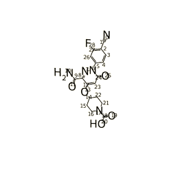 N#Cc1ccc(-n2nc(C(N)=O)c(OC3CCN(C(=O)O)CC3)cc2=O)cc1F